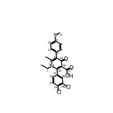 CCn1c(C)c(-c2ccc(SC)cc2)c(=O)c(C(=O)O)c1-c1ccc(Cl)c(Cl)c1